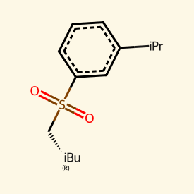 CC[C@@H](C)CS(=O)(=O)c1cccc(C(C)C)c1